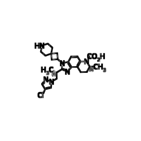 C[C@@H](Cn1cc(Cl)cn1)c1nc2c3c(ccc2n1C1CC2(CCNCC2)C1)N(C(=O)O)[C@@H](C)CC3